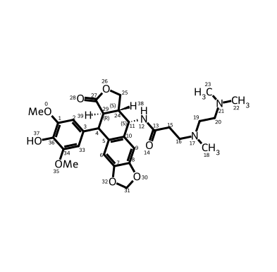 COc1cc(C2c3cc4c(cc3[C@@H](NC(=O)CCN(C)CCN(C)C)[C@H]3COC(=O)[C@H]23)OCO4)cc(OC)c1O